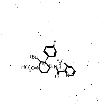 CC(C)(C)C1[C@@H](c2ccc(F)cc2)[C@H](NC(=O)c2ncccc2C(F)(F)F)CCN1C(=O)O